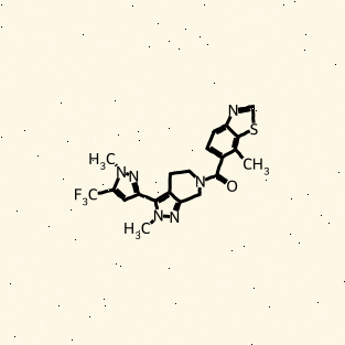 Cc1c(C(=O)N2CCc3c(nn(C)c3-c3cc(C(F)(F)F)n(C)n3)C2)ccc2ncsc12